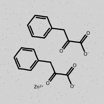 O=C([O-])C(=O)Cc1ccccc1.O=C([O-])C(=O)Cc1ccccc1.[Zn+2]